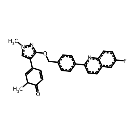 CC1C=C(c2cn(C)nc2OCc2ccc(-c3ccc4cc(F)ccc4n3)cc2)C=CC1=O